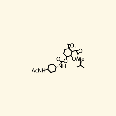 COC1C(OC(=O)N[C@H]2CC[C@H](NC(C)=O)CC2)CC[C@]2(CO2)C1[C@@]1(C)O[C@@H]1CC=C(C)C